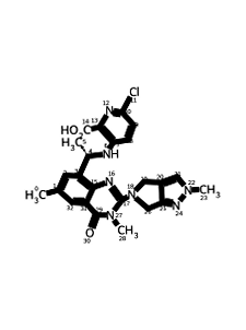 Cc1cc([C@H](C)Nc2ccc(Cl)nc2C(=O)O)c2nc(N3Cc4cn(C)nc4C3)n(C)c(=O)c2c1